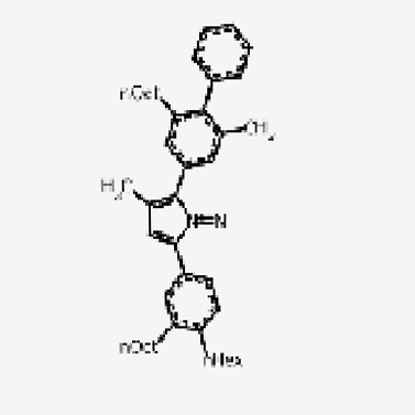 CCCCCCCCc1cc(C2=CC(C)=C(c3cc(C)c(-c4ccccc4)c(CCCCCCCC)c3)[N+]2=[N-])ccc1CCCCCC